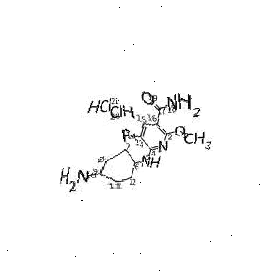 COc1nc(NC2CCC(N)CC2)c(F)cc1C(N)=O.Cl.Cl